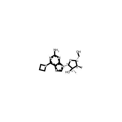 C[C@@]1(O)[C@H](F)[C@@H](CO)O[C@H]1n1cnc2c(N3CCC3)nc(N)nc21